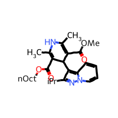 CCCCCCCCOC(=O)C1=C(C)NC(C)=C(C(=O)OC)C1c1c(C(C)C)nn2ccccc12